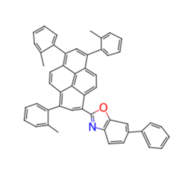 Cc1ccccc1-c1cc(-c2nc3ccc(-c4ccccc4)cc3o2)c2ccc3c(-c4ccccc4C)cc(-c4ccccc4C)c4ccc1c2c34